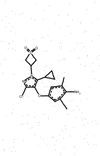 Cc1cc(Oc2c(Cl)nn(C3CS(=O)(=O)C3)c2C2CC2)cc(C)c1N